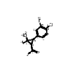 C=C(C)C1C(c2ccc(Cl)c(F)c2)C1(C)O